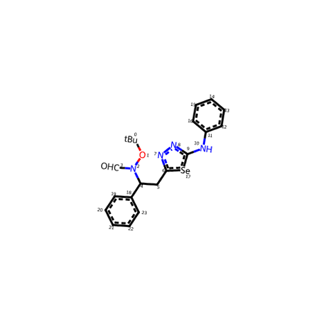 CC(C)(C)ON(C=O)C(Cc1nnc(Nc2ccccc2)[se]1)c1ccccc1